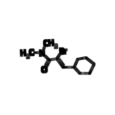 CN(C)C(=O)C(Br)=CC1CCCCC1